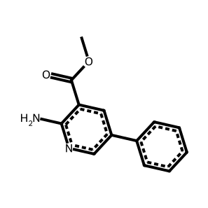 COC(=O)c1cc(-c2ccccc2)cnc1N